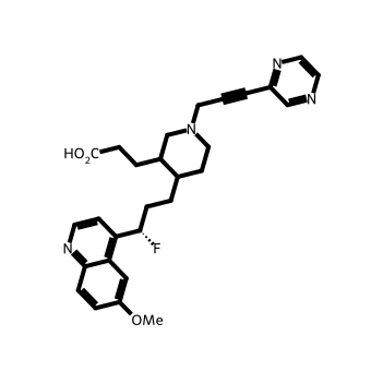 COc1ccc2nccc([C@@H](F)CCC3CCN(CC#Cc4cnccn4)CC3CCC(=O)O)c2c1